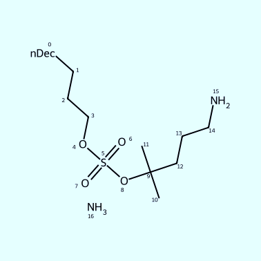 CCCCCCCCCCCCCOS(=O)(=O)OC(C)(C)CCCN.N